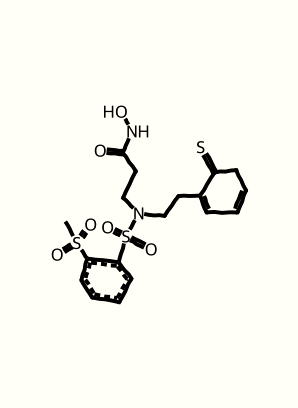 CS(=O)(=O)c1ccccc1S(=O)(=O)N(CCC(=O)NO)CCC1=CC=CCC1=S